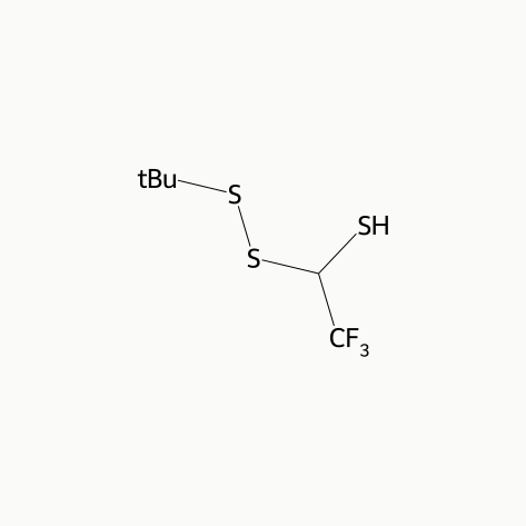 CC(C)(C)SSC(S)C(F)(F)F